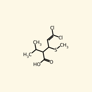 CSC(C=C(Cl)Cl)C(C(=O)O)C(C)C